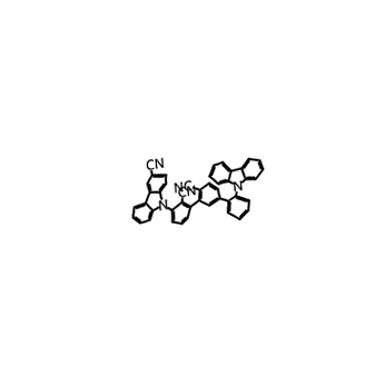 N#Cc1ccc2c(c1)c1ccccc1n2-c1cccc(-c2cc(-c3ccccc3-n3c4ccccc4c4ccccc43)ccc2C#N)c1C#N